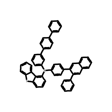 c1ccc(-c2ccc(-c3cccc(N(c4ccc(-c5cc6ccccc6cc5-c5ccccc5)cc4)c4cccc5sc6ccccc6c45)c3)cc2)cc1